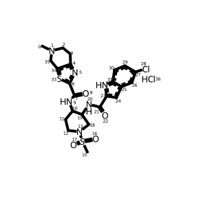 CN1CCc2nc(C(=O)NC3CCN(S(C)(=O)=O)CC3NC(=O)c3cc4cc(Cl)ccc4[nH]3)sc2C1.Cl